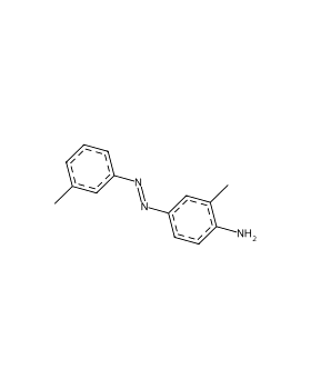 Cc1cccc(N=Nc2ccc(N)c(C)c2)c1